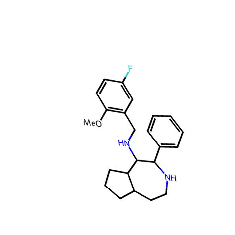 COc1ccc(F)cc1CNC1C(c2ccccc2)NCCC2CCCC21